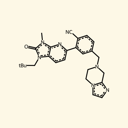 Cn1c(=O)n(CC(C)(C)C)c2ccc(-c3cc(CN4CCn5ccnc5C4)ccc3C#N)nc21